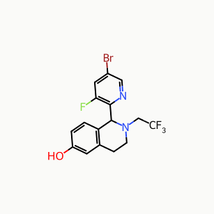 Oc1ccc2c(c1)CCN(CC(F)(F)F)C2c1ncc(Br)cc1F